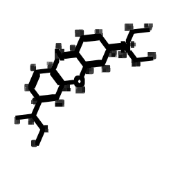 CCC(C)c1ccc2nc3ccc(=[N+](CC)CC)cc-3oc2c1